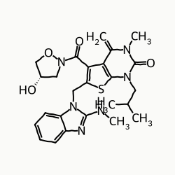 C=C1c2c(sc(Cn3c(NC)nc4ccccc43)c2C(=O)N2C[C@H](O)CO2)N(CC(C)C)C(=O)N1C